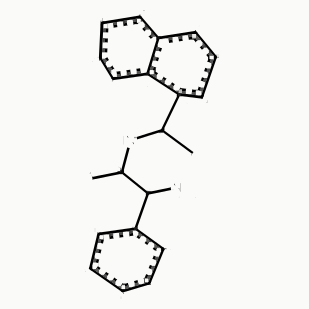 CC(NC(C)C(N)c1ccccc1)c1cccc2ccccc12